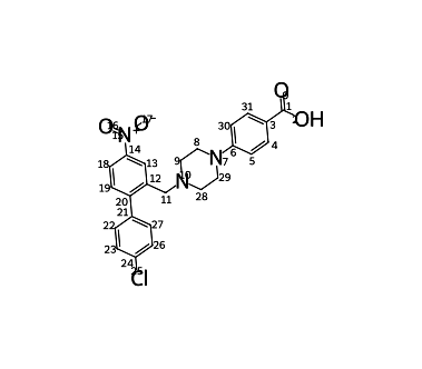 O=C(O)c1ccc(N2CCN(Cc3cc([N+](=O)[O-])ccc3-c3ccc(Cl)cc3)CC2)cc1